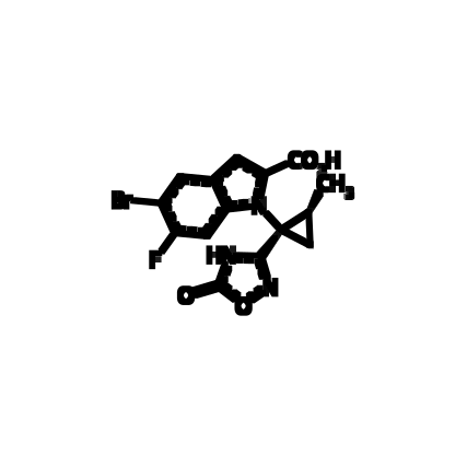 C[C@H]1C[C@]1(c1noc(=O)[nH]1)n1c(C(=O)O)cc2cc(Br)c(F)cc21